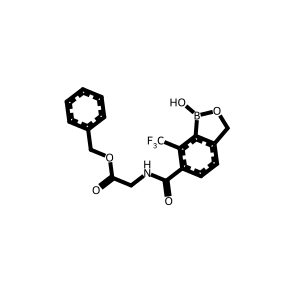 O=C(CNC(=O)c1ccc2c(c1C(F)(F)F)B(O)OC2)OCc1ccccc1